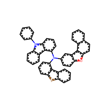 c1ccc(-n2c3ccccc3c3c(N(c4ccc5oc6ccc7ccccc7c6c5c4)c4cccc5sc6ccccc6c45)cccc32)cc1